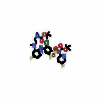 CN(CCN(C)c1cc(F)ccc1Nc1cc(F)c(S(=O)(=O)N(C(=O)OC(C)(C)C)c2ccc(F)cn2)cc1Cl)C(=O)OC(C)(C)C